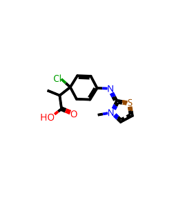 CC(C(=O)O)C1(Cl)C=CC(N=c2sccn2C)=CC1